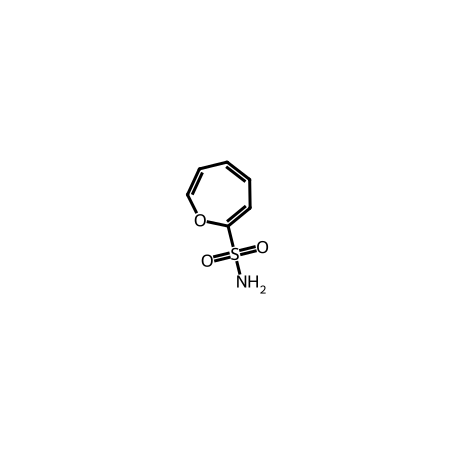 NS(=O)(=O)C1=CC=CC=CO1